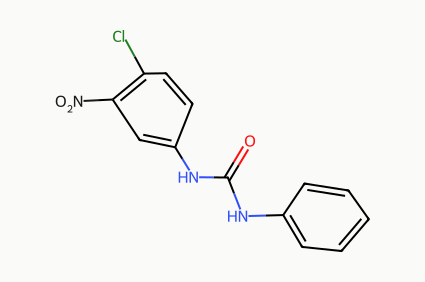 O=C(Nc1ccccc1)Nc1ccc(Cl)c([N+](=O)[O-])c1